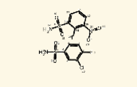 NS(=O)(=O)c1ccc(F)c(Cl)c1.NS(=O)(=O)c1cccc([N+](=O)[O-])c1F